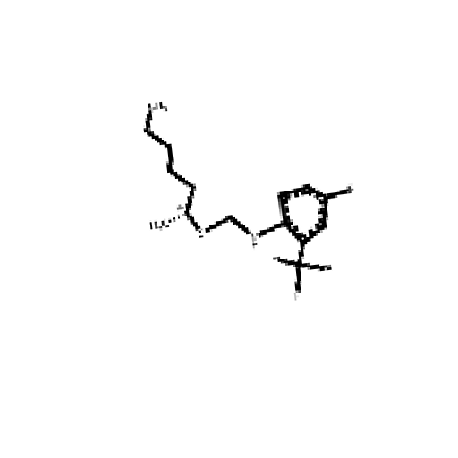 CCCCC[C@@H](C)SCNc1ccc(F)cc1C(F)(F)F